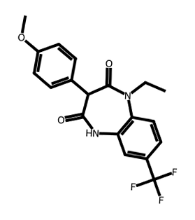 CCN1C(=O)C(c2ccc(OC)cc2)C(=O)Nc2cc(C(F)(F)F)ccc21